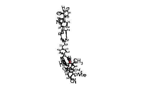 COc1cc(OC2([C@@]3(C(N)=O)C=CC(N4CCC(CCN5CCN(c6ccn7c(N8CCC(=O)NC8=O)cnc7c6)CC5)CC4)=NN3)C(C)(C)CC2(C)C)ccc1C#N